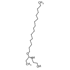 CCCCCCCCCCCCCCCCOC(CC)NCCO